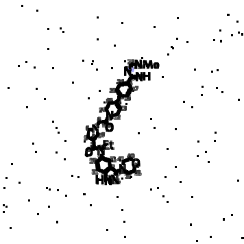 CCN(C(=O)C1CCN(CC(=O)N2CC=C(c3ccc(C(=N)/N=C\NC)cc3)CC2)C1)c1ccc2[nH]nc(N3CCOCC3)c2c1